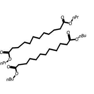 CCCCOC(=O)CCCCCCCCCCC(=O)OCCCC.CCCOC(=O)CCCCCCCCCCC(=O)OCCC